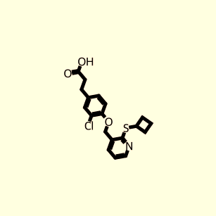 O=C(O)CCc1ccc(OCc2cccnc2SC2CCC2)c(Cl)c1